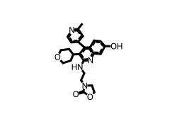 Cc1cc(-c2c(C3CCOCC3)c(NCCN3CCOC3=O)nc3cc(O)ccc23)ccn1